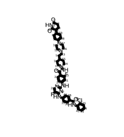 O=C1CCC(c2ccc(N3CCN(CCC4CCN(NC(=O)c5ccc(Nc6ncc(F)c(Nc7ccc(C(=O)Nc8ccccc8Cl)cc7)n6)cc5F)CC4)CC3)cc2)C(=O)N1